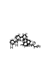 Cc1ccc2c(NC(=O)CC(C)C)cccc2c1Oc1ncccc1-c1ccnc(NC2CCCNC2)n1